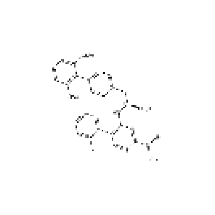 COc1cccc(OC)c1-c1ccc(C[C@H](Nc2nc(N(C)C(C)C)ncc2-c2ccccc2F)C(=O)O)cc1